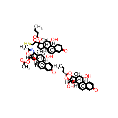 CC(=O)OCC(=O)[C@@]12N=C(C)O[C@@H]1C[C@H]1[C@@H]3CCC4=CC(=O)C=C[C@]4(C)[C@H]3[C@@H](O)C[C@@]12C.CCCC(=O)O[C@]1(C(=O)CS)CC[C@H]2[C@@H]3CCC4=CC(=O)CC[C@]4(C)[C@H]3[C@@H](O)C[C@@]21C.CCC[C@@H]1O[C@@H]2C[C@H]3[C@@H]4CCC5=CC(=O)C=C[C@]5(C)[C@H]4[C@@H](O)C[C@]3(C)[C@]2(C(=O)CO)O1